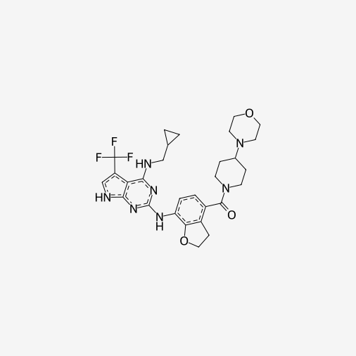 O=C(c1ccc(Nc2nc(NCC3CC3)c3c(C(F)(F)F)c[nH]c3n2)c2c1CCO2)N1CCC(N2CCOCC2)CC1